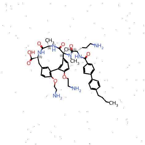 CCCCc1ccc(-c2ccc(C(=O)N[C@@H](CCCN)C(=O)N(C)[C@]3(C)C(=O)N[C@@H](C)C(=O)N[C@H](C(=O)O)Cc4ccc(OCCN)c(c4)-c4cc3ccc4OCCN)cc2)cc1